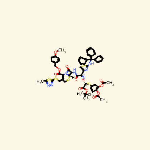 COc1ccc(COC(=O)C2=C(CSc3nnc(C)s3)CS[C@H]3[C@H](NC(=O)/C(=N\O[C@H](Sc4ccc(OC(C)=O)c(OC(C)=O)c4)C(=O)OC(C)(C)C)c4csc(NC(c5ccccc5)(c5ccccc5)c5ccccc5)n4)C(=O)N23)cc1